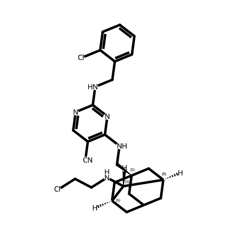 N#Cc1cnc(NCc2ccccc2Cl)nc1NC[C@]12CC3C[C@H](C1)[C@@H](NCCCl)[C@@H](C3)C2